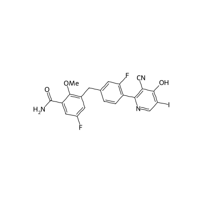 COc1c(Cc2ccc(-c3ncc(I)c(O)c3C#N)c(F)c2)cc(F)cc1C(N)=O